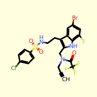 C#CCN(Cc1[nH]c2c(F)cc(Br)cc2c1CCNS(=O)(=O)c1ccc(Cl)cc1)C(=O)C(F)(F)F